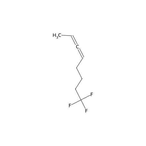 CC=C=CCCCC(F)(F)F